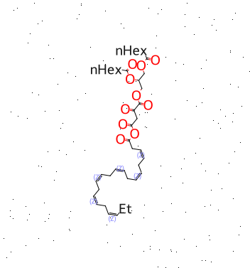 CC/C=C\C/C=C\C/C=C\C/C=C\C/C=C\C/C=C\CC(=O)OC(=O)CC(=O)C(=O)OCC(COC(=O)CCCCCC)OC(=O)CCCCCC